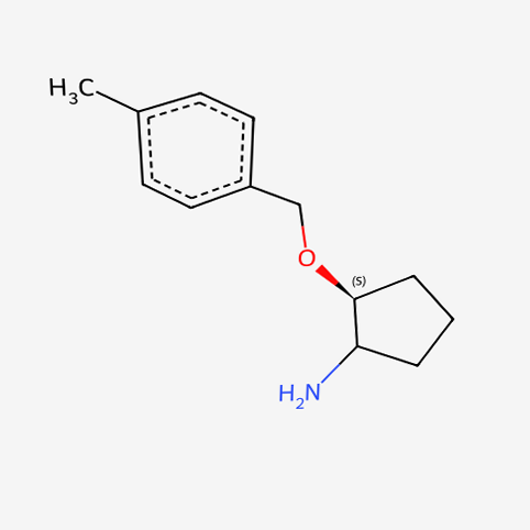 Cc1ccc(CO[C@H]2CCCC2N)cc1